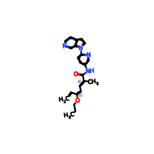 C=C/C(=C\C=C(/C)C(=O)Nc1ccc(-n2ccc3ccncc32)nc1)OCCC